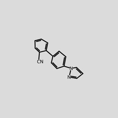 N#Cc1ccccc1-c1ccc(-n2cccn2)cc1